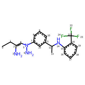 CC/C(N)=C/N(N)c1cccc(C(C)Nc2ccccc2C(F)(F)F)c1